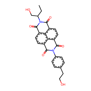 CCC(CO)N1C(=O)c2ccc3c4c(ccc(c24)C1=O)C(=O)N(c1ccc(CCO)cc1)C3=O